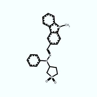 Cn1c2ccccc2c2cc(/C=N/N(c3ccccc3)C3CCS(=O)(=O)C3)ccc21